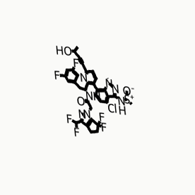 CC(O)C#Cc1ccc(-c2ccc(Cl)c3c(N[S+](C)[O-])nn(C)c23)c(C(Cc2cc(F)cc(F)c2)NC(=O)Cn2nc(C(F)F)c3c2C(F)(F)CC3)n1